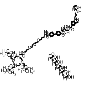 CC(C)(C)OC(=O)CN1CCN(CC(=O)NCCCOCCOCCOCCCNS(=O)(=O)c2ccc(-c3ccc(S(=O)(=O)NC(CNC(=O)c4ccc5c(cnn5CCCNc5ncc[nH]5)c4)C(=O)O)cc3)cc2)CCN(CC(=O)OC(C)(C)C)CCN(CC(=O)OC(C)(C)C)CC1.O=C(O)C(F)(F)F.O=C(O)C(F)(F)F.O=C(O)C(F)(F)F.O=C(O)C(F)(F)F.O=C(O)C(F)(F)F